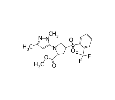 COC(=O)C1CC(S(=O)(=O)c2ccccc2C(F)(F)F)CN1c1cc(C)nn1C